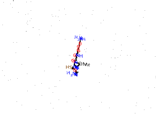 COC1Cc2nnn(CC(C)(S)COCC(C)(C)CN(C)N)c2CCN(C(=O)CCCC(=O)NCCCOCCOCCOCCCNN)C1